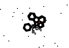 [CH3][Zr]([CH3])([C]1=CC=CC1)(=[C]1CCCCC1)[CH]1c2ccccc2-c2ccccc21